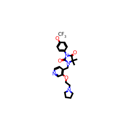 CC1(C)C(=O)N(c2ccc(OC(F)(F)F)cc2)C(=O)N1Cc1ccncc1OCCN1CCCC1